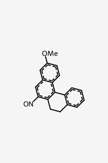 COc1ccc2c3c(c(N=O)cc2c1)CCc1ccccc1-3